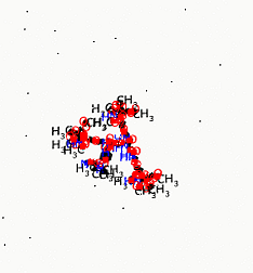 CC(=O)NC1C(OCCOCCNC(=O)CC[C@H](NC(=O)CC[C@H](NC(=O)[C@H]2CC[C@@H](OP(OCCC#N)N(C(C)C)C(C)C)CC2)C(=O)NCCOCCOC2OC(COC(C)=O)[C@H](OC(C)=O)C(OC(C)=O)C2NC(C)=O)C(=O)NCCOCCOC2OC(COC(C)=O)[C@H](OC(C)=O)C(OC(C)=O)C2NC(C)=O)OC(COC(C)=O)[C@H](OC(C)=O)C1OC(C)=O